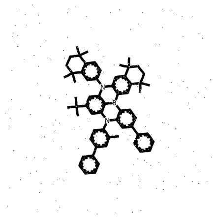 Cc1cc(-c2ccccc2)ccc1N1c2cc(-c3ccccc3)ccc2B2c3cc4c(cc3N(c3ccc5c(c3)C(C)(C)CCC5(C)C)c3cc(C(C)(C)C)cc1c32)C(C)(C)CCC4(C)C